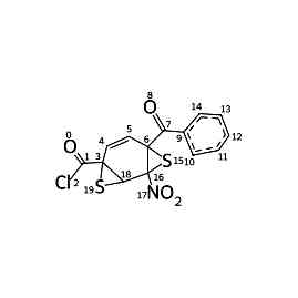 O=C(Cl)C12C=CC3(C(=O)c4ccccc4)SC3([N+](=O)[O-])C1S2